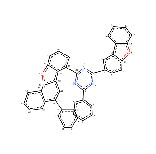 c1ccc(-c2nc(-c3ccc4oc5ccccc5c4c3)nc(-c3cccc4oc5c6ccccc6c(-c6ccccc6)cc5c34)n2)cc1